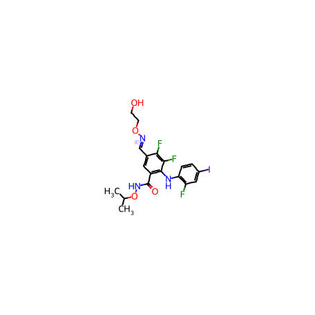 CC(C)ONC(=O)c1cc(/C=N/OCCO)c(F)c(F)c1Nc1ccc(I)cc1F